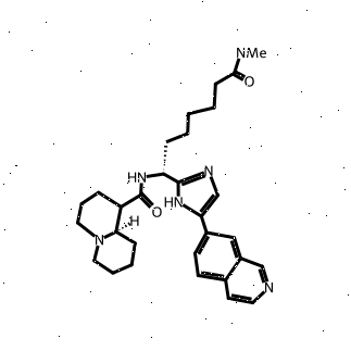 CNC(=O)CCCCC[C@@H](NC(=O)C1CCCN2CCCC[C@H]12)c1ncc(-c2ccc3ccncc3c2)[nH]1